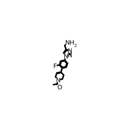 CC(=O)N1CC=C(c2ccc(-n3cc(CN)nn3)cc2F)CC1